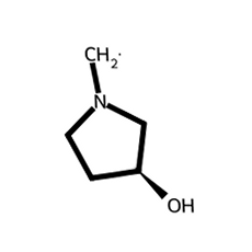 [CH2]N1CC[C@H](O)C1